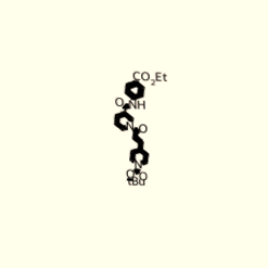 CCOC(=O)c1ccc(NC(=O)[C@@H]2CCCN(C(=O)C=CC3CCN(C(=O)OC(C)(C)C)CC3)C2)cc1